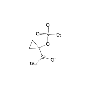 CCS(=O)(=O)OC1([S+]([O-])C(C)(C)C)CC1